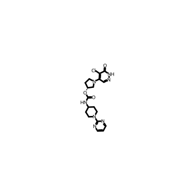 O=C(NC1CCN(c2ncccn2)CC1)O[C@@H]1CCN(c2cn[nH]c(=O)c2Cl)C1